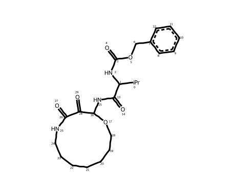 CC(C)C(NC(=O)OCc1ccccc1)C(=O)NC1OCCCCCCCNC(=O)C1=O